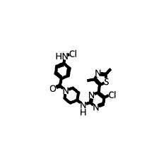 Cc1nc(C)c(-c2nc(NC3CCN(C(=O)c4ccc(NCl)cc4)CC3)ncc2Cl)s1